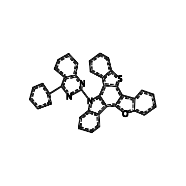 c1ccc(-c2nc(-n3c4ccccc4c4c5oc6ccccc6c5c5sc6ccccc6c5c43)nc3ccccc23)cc1